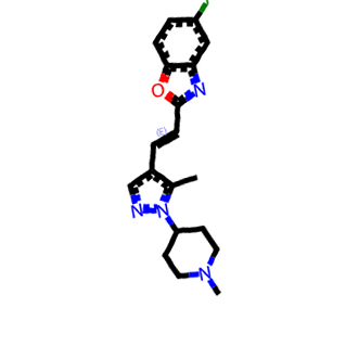 Cc1c(/C=C/c2nc3cc(F)ccc3o2)cnn1C1CCN(C)CC1